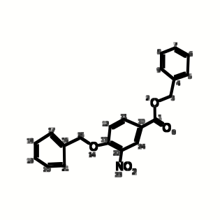 O=C(OCc1ccccc1)c1ccc(OCc2ccccc2)c([N+](=O)[O-])c1